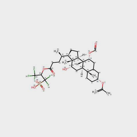 C=C(C)O[C@@H]1CC[C@@]2(C)C(C1)C[C@@H](OC=O)[C@H]1[C@@H]3CC[C@H]([C@H](C)CCC(=O)OC(C(F)(F)F)C(F)(F)S(=O)(=O)O)[C@@]3(C)[C@@H](O)C[C@@H]12